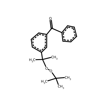 CC(C)(C)OOC(C)(C)c1cccc(C(=O)c2ccccc2)c1